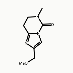 COCc1cn2c(n1)CCN(C)C2=O